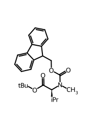 CC(C)[C@@H](C(=O)OC(C)(C)C)N(C)C(=O)OCC1c2ccccc2-c2ccccc21